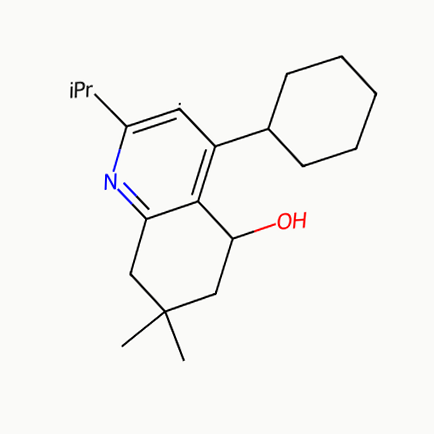 CC(C)c1[c]c(C2CCCCC2)c2c(n1)CC(C)(C)CC2O